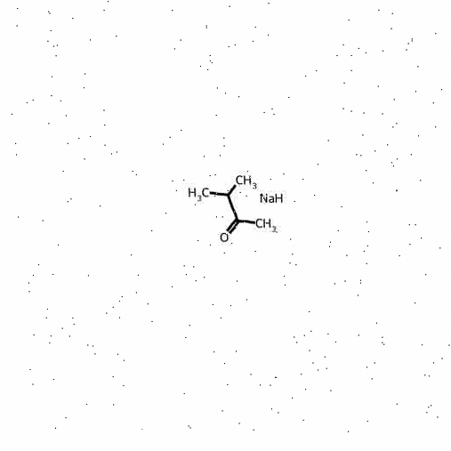 CC(=O)C(C)C.[NaH]